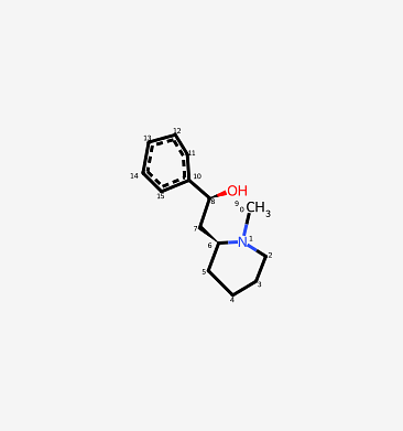 CN1CCCC[C@H]1C[C@H](O)c1ccccc1